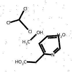 CO.ClC(Cl)Cl.O.O=C(O)Cc1ccccn1